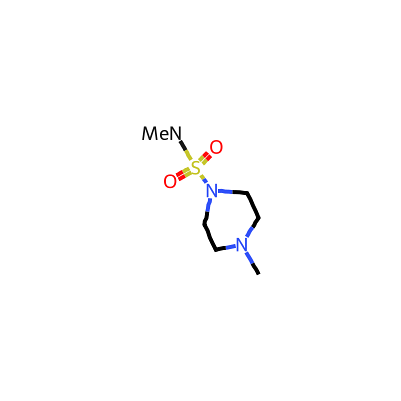 CNS(=O)(=O)N1CCN(C)CC1